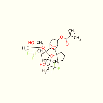 C=C(C)C(=O)OC1CC2OC1C(C1(OC(C)(C)C(C)(O)C(F)(F)F)CCCC1)C2C1(OC(C)(C)C(C)(O)C(F)(F)F)CCCC1